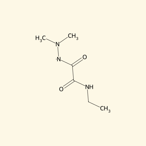 CCNC(=O)C(=O)[N]N(C)C